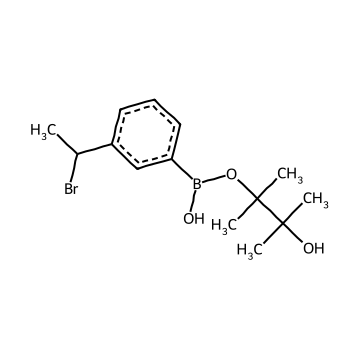 CC(Br)c1cccc(B(O)OC(C)(C)C(C)(C)O)c1